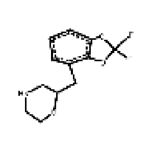 FC1(F)Oc2cccc(CC3CNCCO3)c2O1